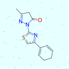 CC1=NN(c2nc(C3=CCCC=C3)cs2)C(=O)C1